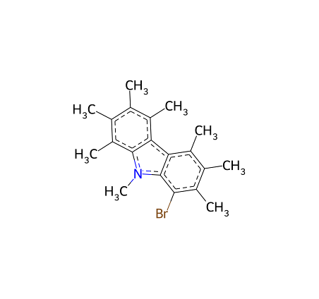 Cc1c(C)c(C)c2c(c1C)c1c(C)c(C)c(C)c(Br)c1n2C